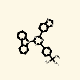 CC(C)(C)c1ccc(-c2nc(-c3ccc4ncsc4c3)nc(-n3c4ccccc4c4ccccc43)n2)cc1